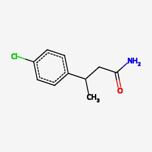 CC(CC(N)=O)c1ccc(Cl)cc1